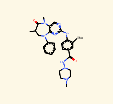 COc1cc(C(=O)NN2CCN(C)CC2)ccc1Nc1ncc2c(n1)N(c1ccccc1)CC(C)C(=O)N2C